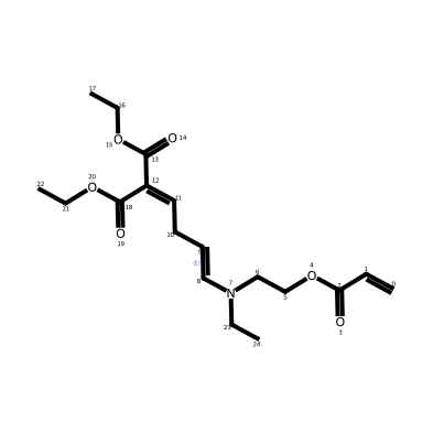 C=CC(=O)OCCN(/C=C/CC=C(C(=O)OCC)C(=O)OCC)CC